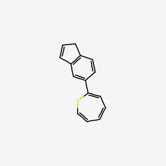 C1=CC=C(c2ccc3c(c2)C=CC3)SC=C1